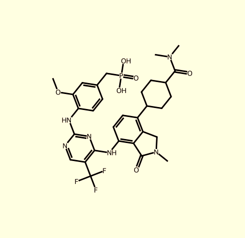 COc1cc(CP(=O)(O)O)ccc1Nc1ncc(C(F)(F)F)c(Nc2ccc(C3CCC(C(=O)N(C)C)CC3)c3c2C(=O)N(C)C3)n1